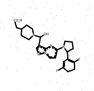 O=C(O)CC1CCN(C(O)c2cnn3ccc(N4CCCC4C4=C(F)CCC(F)=C4)nc23)CC1